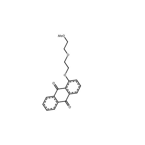 COCCOCCOc1cccc2c1C(=O)c1ccccc1C2=O